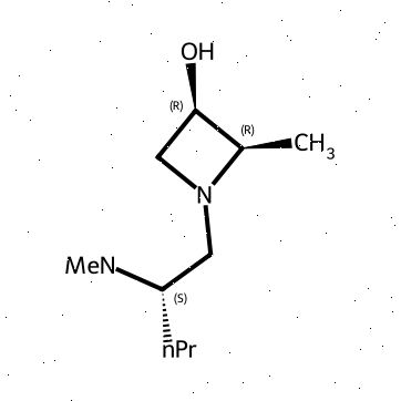 CCC[C@@H](CN1C[C@@H](O)[C@H]1C)NC